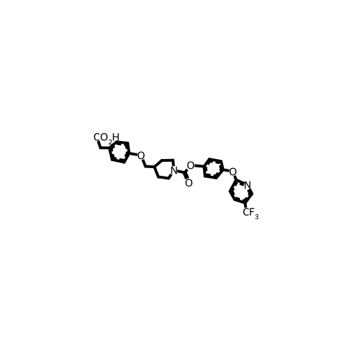 O=C(O)Cc1ccc(OCC2CCN(C(=O)Oc3ccc(Oc4ccc(C(F)(F)F)cn4)cc3)CC2)cc1